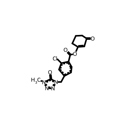 Cn1nnn(Cc2ccc(C(=O)OC3=CC(=O)CCC3)c(Cl)c2)c1=O